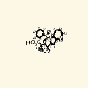 CC(O)(CC(=N)C(=O)O)c1cc2ncccc2n1S(=O)(=O)c1ccccc1